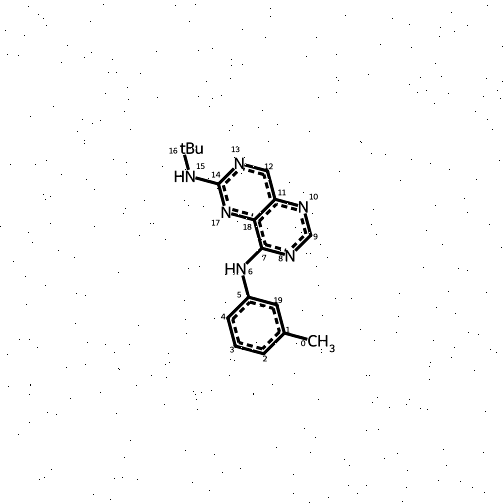 Cc1cccc(Nc2ncnc3cnc(NC(C)(C)C)nc23)c1